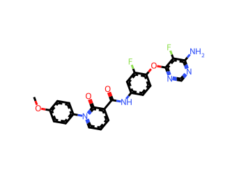 COc1ccc(-n2cccc(C(=O)Nc3ccc(Oc4ncnc(N)c4F)c(F)c3)c2=O)cc1